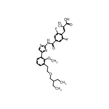 CCC(CC)COCCc1cccc(-c2csc(NC(=O)c3cc(F)c(C=C(C)C(=O)O)c(F)c3)n2)c1OC